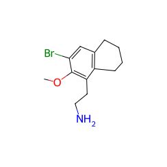 COc1c(Br)cc2c(c1CCN)CCCC2